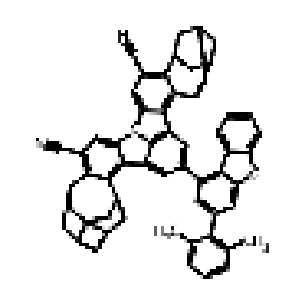 Cc1cccc(C)c1-c1cc(-c2cc3c4c5c(c(C#N)cc4n4c6cc(C#N)c7c(c6c(c2)c34)C2CC3CC4CC7CC43C2)C2CC3CC(C2)CC5C3)c2c(c1)oc1ccccc12